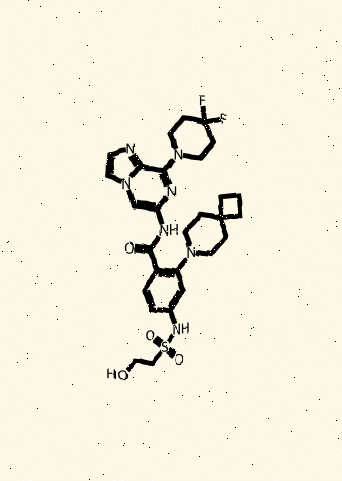 O=C(Nc1cn2ccnc2c(N2CCC(F)(F)CC2)n1)c1ccc(NS(=O)(=O)CCO)cc1N1CCC2(CCC2)CC1